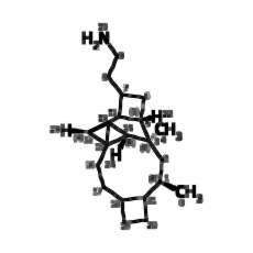 C[C@@H]1C[C@]2(C)[C@H]3CC(CCN)C3[C@@H]3C4[C@H]2C43CCC2CCC21